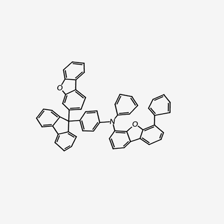 c1ccc(-c2cccc3c2oc2c(N(c4ccccc4)c4ccc(C5(c6ccc7c(c6)oc6ccccc67)c6ccccc6-c6ccccc65)cc4)cccc23)cc1